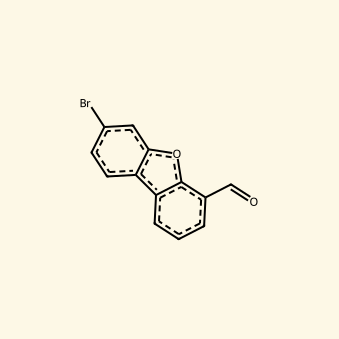 O=Cc1cccc2c1oc1cc(Br)ccc12